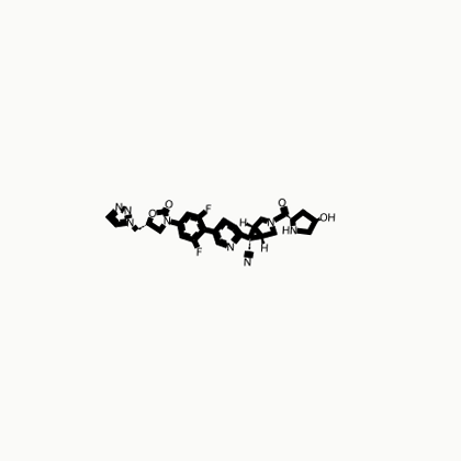 N#C[C@]1(c2ccc(-c3c(F)cc(N4C[C@H](Cn5ccnn5)OC4=O)cc3F)cn2)[C@@H]2CN(C(=O)[C@@H]3C[C@@H](O)CN3)C[C@@H]21